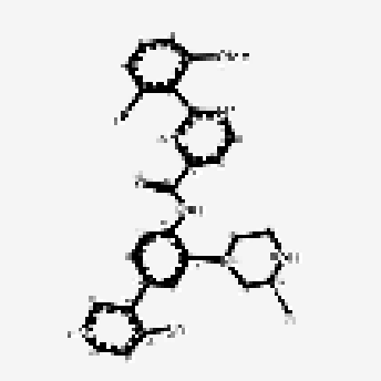 COc1cccc(F)c1-c1nccc(C(=O)Nc2ccc(-c3cnccc3C#N)cc2N2CCN[C@@H](C)C2)n1